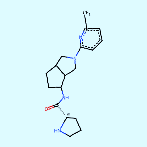 O=C(NC1CCC2CN(c3cccc(C(F)(F)F)n3)CC21)[C@@H]1CCCN1